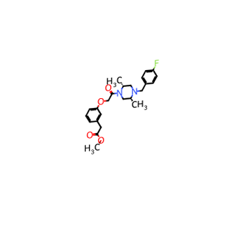 COC(=O)Cc1cccc(OCC(=O)N2C[C@H](C)N(Cc3ccc(F)cc3)C[C@H]2C)c1